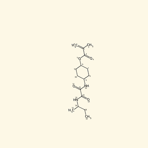 C=C(C)C(=O)OC1CCC(NC(=O)C(=O)NC(C)CC)CC1